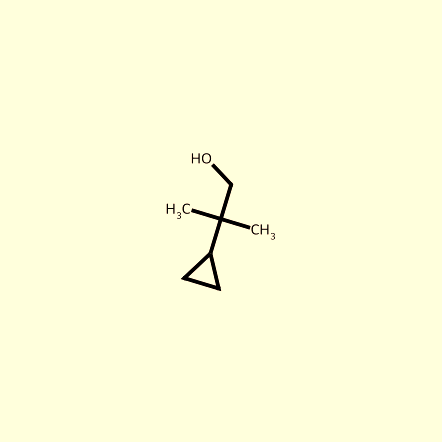 CC(C)(CO)C1CC1